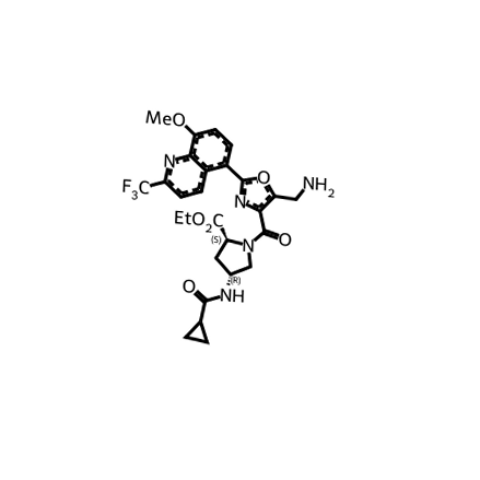 CCOC(=O)[C@@H]1C[C@@H](NC(=O)C2CC2)CN1C(=O)c1nc(-c2ccc(OC)c3nc(C(F)(F)F)ccc23)oc1CN